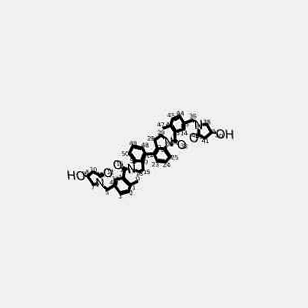 Cc1ccc(CN2C[C@H](O)CC2=O)cc1C(=O)N1CCc2c(-c3cccc4c3CCN4C(=O)c3cc(CN4C[C@@H](O)CC4=O)ccc3C)cccc21